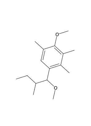 CCC(C)C(OC)c1cc(C)c(OC)c(C)c1C